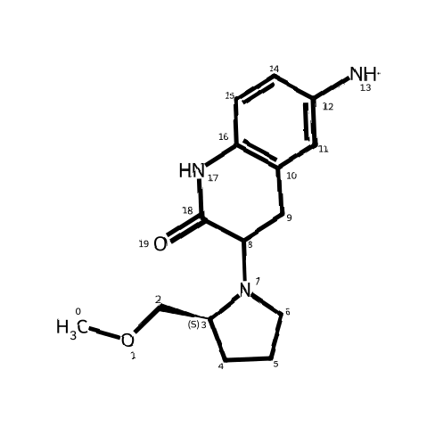 COC[C@@H]1CCCN1C1Cc2cc([NH])ccc2NC1=O